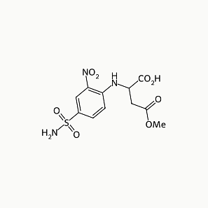 COC(=O)CC(Nc1ccc(S(N)(=O)=O)cc1[N+](=O)[O-])C(=O)O